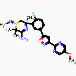 C/N=S1/C[C@@](C)(c2cc(-c3cc(-c4ncc(OC)cn4)no3)ccc2F)N=C(N)C1(C)C